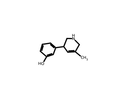 CC1=CC(c2cccc(O)c2)CNC1